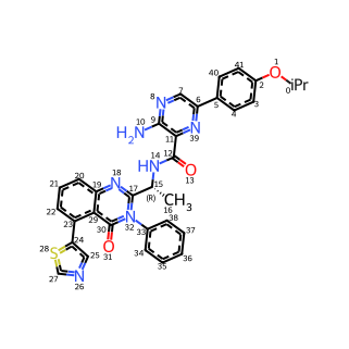 CC(C)Oc1ccc(-c2cnc(N)c(C(=O)N[C@H](C)c3nc4cccc(-c5cncs5)c4c(=O)n3-c3ccccc3)n2)cc1